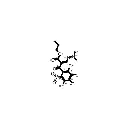 CCCOC(=O)C(=CNN(C)C)C(=O)c1c(F)c(C)c(F)c(F)c1[N+](=O)[O-]